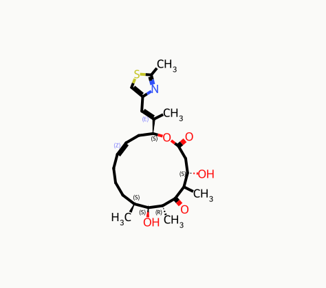 C/C(=C\c1csc(C)n1)[C@@H]1C/C=C\CCC[C@H](C)[C@H](O)[C@@H](C)C(=O)C(C)[C@@H](O)CC(=O)O1